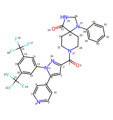 O=C(c1cc(-c2ccncc2)n(-c2cc(C(F)(F)F)cc(C(F)(F)F)c2)n1)N1CCC2(CC1)C(=O)NCN2c1ccccc1